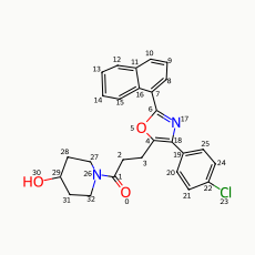 O=C(CCc1oc(-c2cccc3ccccc23)nc1-c1ccc(Cl)cc1)N1CCC(O)CC1